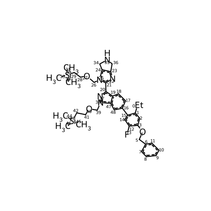 CCc1cc(OCc2ccccc2)c(F)cc1-c1ccc2c(-c3nc4c(n3COCC[Si](C)(C)C)CNC4)nn(COCC[Si](C)(C)C)c2c1